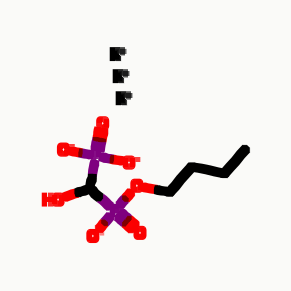 CCCCOP(=O)([O-])C(O)P(=O)([O-])[O-].[K+].[K+].[K+]